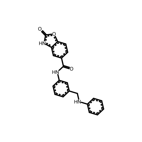 O=C(Nc1cccc(CNc2ccccc2)c1)c1ccc2oc(=O)[nH]c2c1